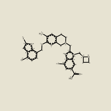 Cc1cc2c(nc1OCc1ccc(Cl)c3cc(F)oc13)CN(Cc1nc3c(F)cc(C(=O)O)cc3n1C[C@@H]1CCO1)CC2